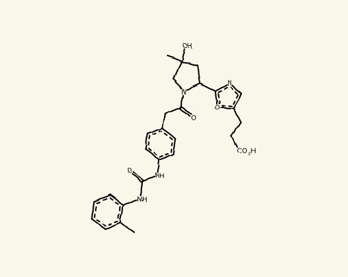 Cc1ccccc1NC(=O)Nc1ccc(CC(=O)N2CC(C)(O)CC2c2ncc(CCC(=O)O)o2)cc1